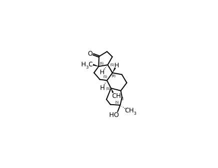 C[C@]1(O)CC[C@@]2(C)C(CC[C@@H]3[C@@H]2CC[C@]2(C)C(=O)CC[C@@H]32)C1